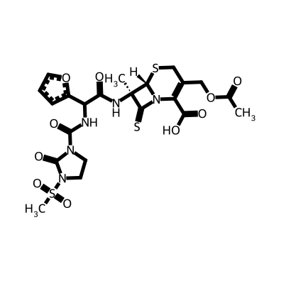 CC(=O)OCC1=C(C(=O)O)N2C(=S)[C@@](C)(NC(=O)C(NC(=O)N3CCN(S(C)(=O)=O)C3=O)c3ccco3)[C@@H]2SC1